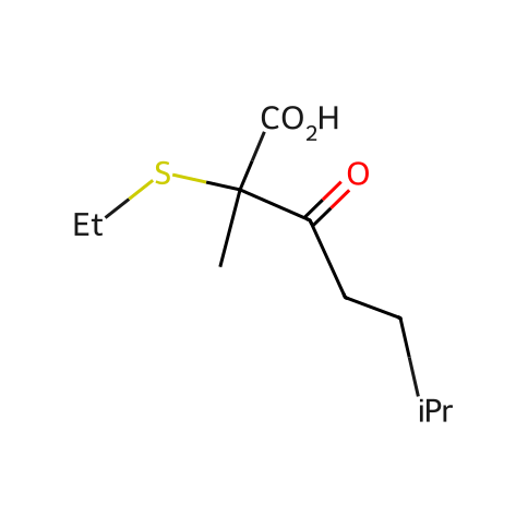 CCSC(C)(C(=O)O)C(=O)CCC(C)C